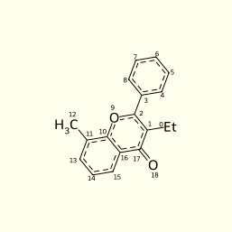 CCc1c(-c2ccccc2)oc2c(C)cccc2c1=O